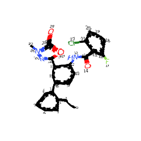 CCc1ccccc1-c1ccc(NC(=O)c2c(F)cccc2Cl)c(-c2nn(C)c(=O)o2)c1